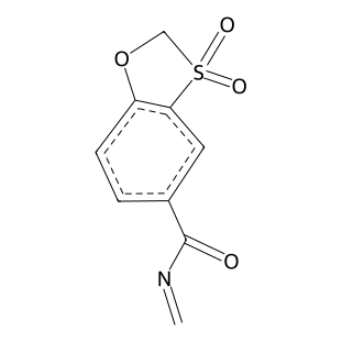 C=NC(=O)c1ccc2c(c1)S(=O)(=O)CO2